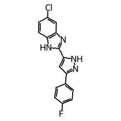 Fc1ccc(-c2cc(-c3nc4cc(Cl)ccc4[nH]3)[nH]n2)cc1